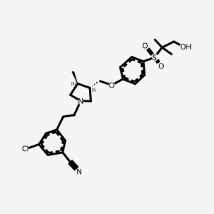 C[C@@H]1CN(CCc2cc(Cl)cc(C#N)c2)C[C@H]1COc1ccc(S(=O)(=O)C(C)(C)CO)cc1